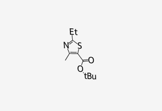 CCc1nc(C)c(C(=O)OC(C)(C)C)s1